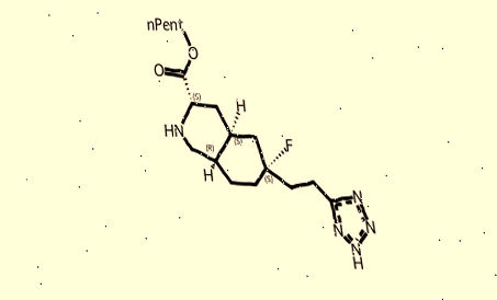 CCCCCOC(=O)[C@@H]1C[C@H]2C[C@@](F)(CCc3nn[nH]n3)CC[C@H]2CN1